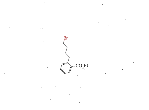 CCOC(=O)c1ccccc1CCCCBr